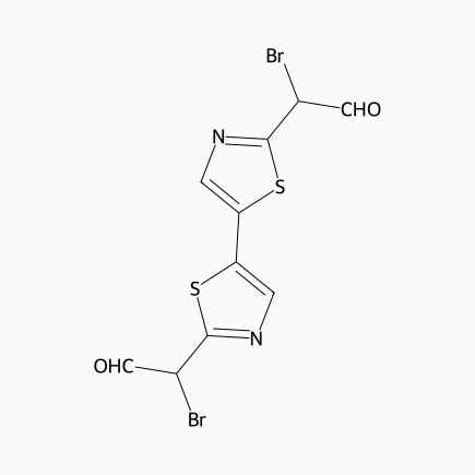 O=CC(Br)c1ncc(-c2cnc(C(Br)C=O)s2)s1